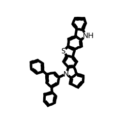 c1ccc(-c2cc(-c3ccccc3)cc(-n3c4ccccc4c4cc5c(cc43)sc3cc4c(cc35)[nH]c3ccccc34)c2)cc1